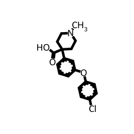 CN1CCC(C(=O)O)(c2cccc(Oc3ccc(Cl)cc3)c2)CC1